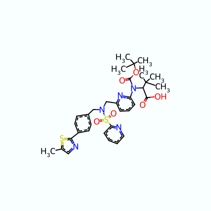 Cc1cnc(-c2ccc(CN(Cc3cccc(N(C(=O)OC(C)(C)C)C(C(=O)O)C(C)(C)C)n3)S(=O)(=O)c3ccccn3)cc2)s1